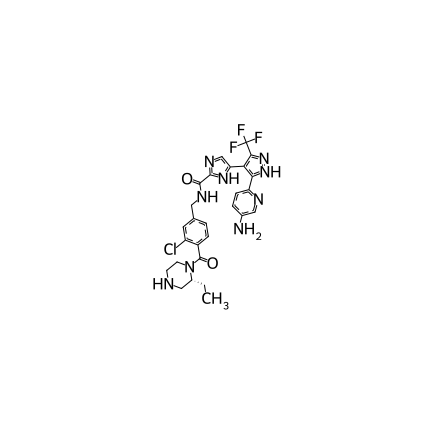 CC[C@@H]1CNCCN1C(=O)c1ccc(CNC(=O)c2ncc(-c3c(C(F)(F)F)n[nH]c3-c3ccc(N)cn3)[nH]2)cc1Cl